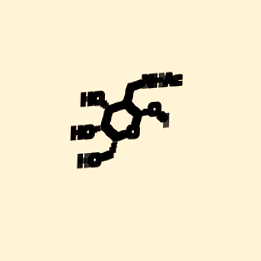 CC(=O)NCC1[C@H](OI)O[C@H](CO)[C@H](O)[C@@H]1O